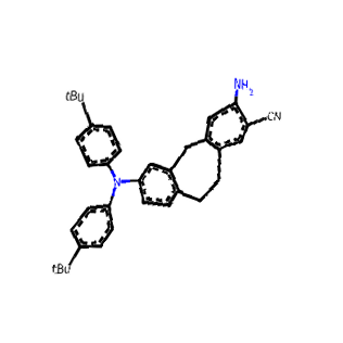 CC(C)(C)c1ccc(N(c2ccc(C(C)(C)C)cc2)c2ccc3c(c2)Cc2cc(N)c(C#N)cc2CC3)cc1